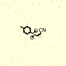 Cc1ccc(S(=O)(=O)/C=C\C#N)cc1